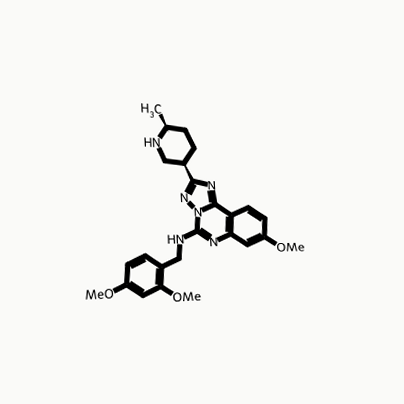 COc1ccc(CNc2nc3cc(OC)ccc3c3nc([C@@H]4CC[C@H](C)NC4)nn23)c(OC)c1